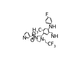 Cc1cc(Nc2ccc(F)cc2)c(C=N)cc1[C@@H]1CN(S(=O)(=O)c2cccnc2)CCN1CCC(F)(F)F